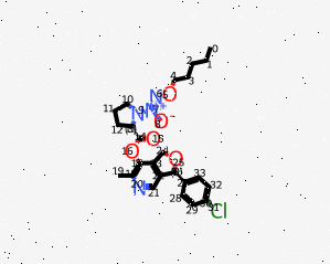 CCCCCO/N=[N+](\[O-])N1CCC[C@H]1C(=O)Oc1c(C)ncc2c1CO[C@H]2c1ccc(Cl)cc1